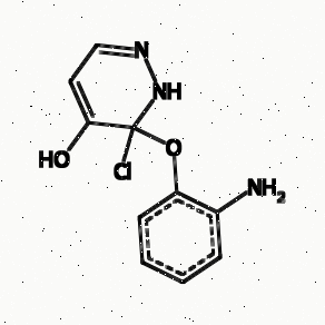 Nc1ccccc1OC1(Cl)NN=CC=C1O